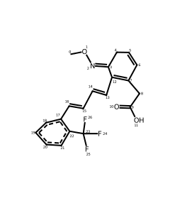 CON=C1CC=CC(CC(=O)O)=C1/C=C/C=C/c1ccccc1C(F)(F)F